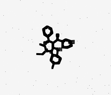 CCN(CC)N1C(=C(C(=O)c2ccccc2)C(=O)c2ccccc2)Nc2ccc(C)cc21.Cl